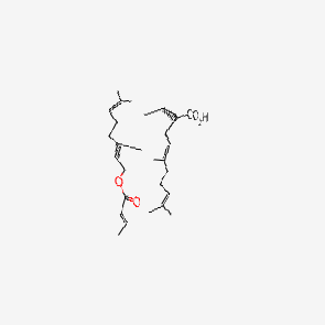 C/C=C(\C/C=C(\C)CCC=C(C)C)C(=O)O.CC=CC(=O)OC/C=C(\C)CCC=C(C)C